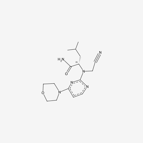 CC(C)C[C@@H](C(N)=O)N(CC#N)c1nccc(N2CCOCC2)n1